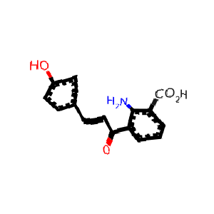 Nc1c(C(=O)O)cccc1C(=O)/C=C/c1ccc(O)cc1